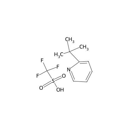 CC(C)(C)c1ccccn1.O=S(=O)(O)C(F)(F)F